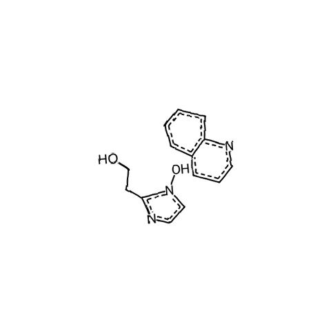 OCCc1nccn1O.c1ccc2ncccc2c1